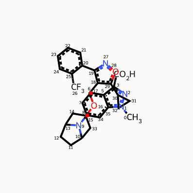 Cn1nc(C(=O)O)c2ccc(N3C4CCC3CC(OCc3c(-c5ccccc5C(F)(F)F)noc3C3CC3)C4)cc21